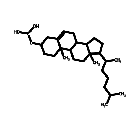 CC(C)CCCC(C)C1CCC2C3CC=C4CC(OP(O)O)CCC4(C)C3CCC12C